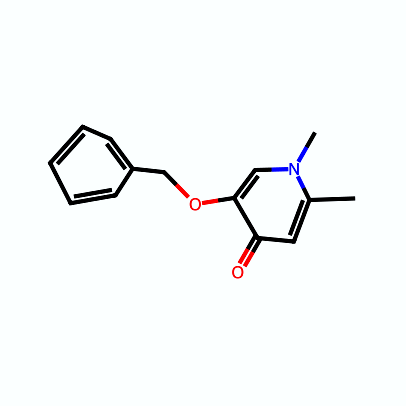 Cc1cc(=O)c(OCc2ccccc2)cn1C